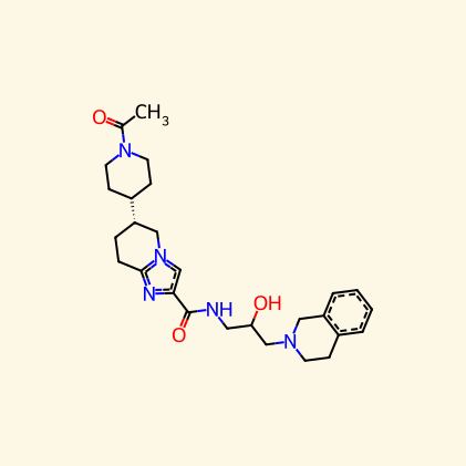 CC(=O)N1CCC([C@H]2CCc3nc(C(=O)NCC(O)CN4CCc5ccccc5C4)cn3C2)CC1